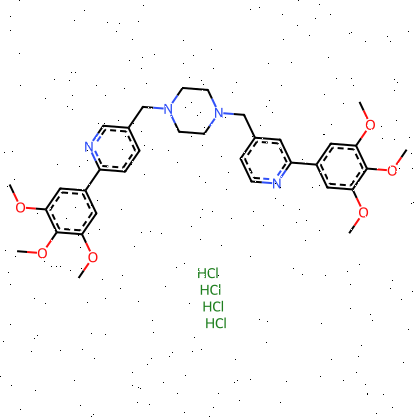 COc1cc(-c2ccc(CN3CCN(Cc4ccnc(-c5cc(OC)c(OC)c(OC)c5)c4)CC3)cn2)cc(OC)c1OC.Cl.Cl.Cl.Cl